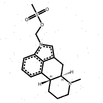 CN1CCC[C@@H]2c3cccc4c3c(cn4COS(C)(=O)=O)C[C@H]21